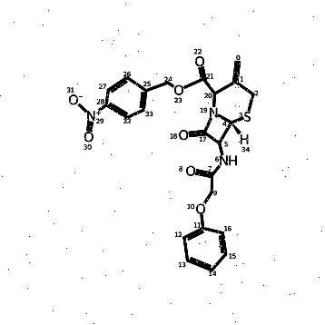 C=C1CS[C@@H]2C(NC(=O)COc3ccccc3)C(=O)N2C1C(=O)OCc1ccc([N+](=O)[O-])cc1